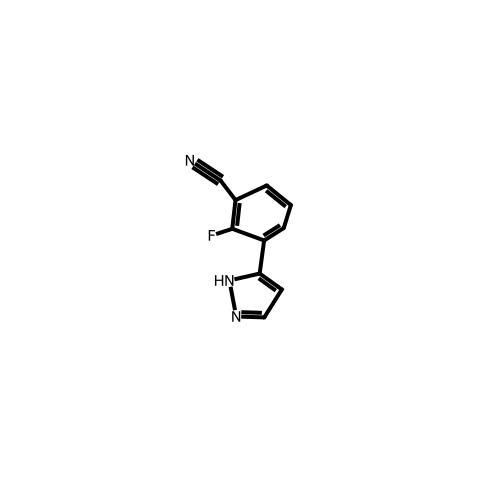 N#Cc1cccc(-c2ccn[nH]2)c1F